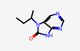 CCC(C)n1c(=O)[nH]c2ncncc21